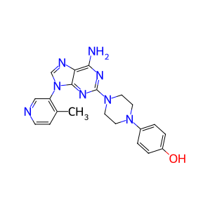 Cc1ccncc1-n1cnc2c(N)nc(N3CCN(c4ccc(O)cc4)CC3)nc21